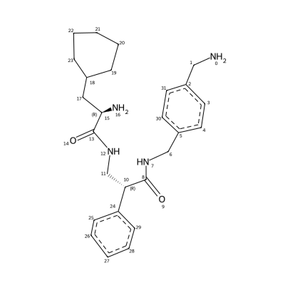 NCc1ccc(CNC(=O)[C@@H](CNC(=O)[C@H](N)CC2CCCCC2)c2ccccc2)cc1